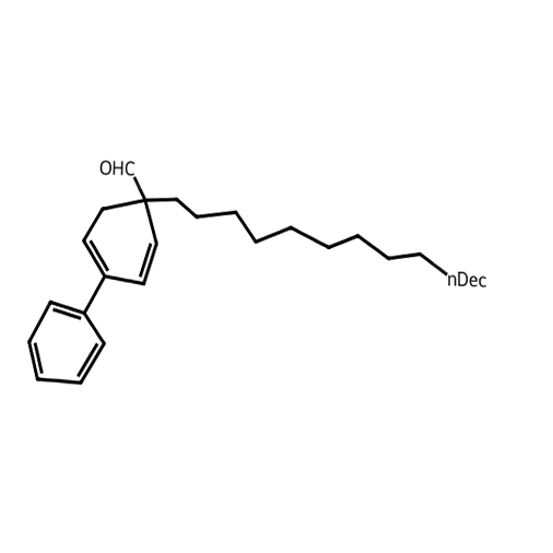 CCCCCCCCCCCCCCCCCCCC1(C=O)C=CC(c2ccccc2)=CC1